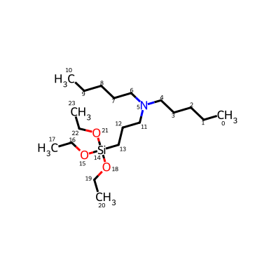 CCCCCN(CCCCC)CCC[Si](OCC)(OCC)OCC